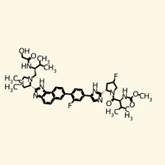 COC(=O)N[C@H](C(=O)N1CC(F)C[C@H]1c1ncc(-c2ccc(-c3ccc4c(ccc5nc([C@@H]6C[Si](C)(C)CN6C[C@@H](NC(=O)CO)C(C)C)[nH]c54)c3)c(F)c2)[nH]1)C(C)C